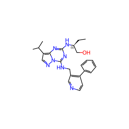 CC[C@@H](CO)Nc1nc(NCc2cnccc2-c2ccccc2)n2ncc(C(C)C)c2n1